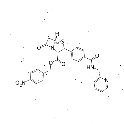 O=C(NCc1ccccn1)c1ccc(C2S[C@H]3CC(=O)N3C2C(=O)OCc2ccc([N+](=O)[O-])cc2)cc1